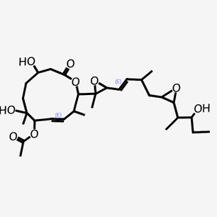 CCC(O)C(C)C1OC1CC(C)/C=C/C1OC1(C)C1OC(=O)CC(O)CCC(C)(O)C(OC(C)=O)/C=C/C1C